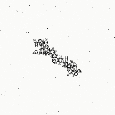 CC[C@H](C)[C@H](NC(=O)OC)C(=O)N1[C@@H](C)CC[C@H]1c1ncc(-c2ccc3c(c2)COc2cc4c(ccc5nc([C@@H]6C[C@H](COC)CN6C(=O)[C@@H](NC(=O)OC)[C@@H](C)OC)[nH]c54)cc2-3)[nH]1